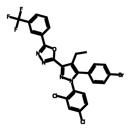 CCc1c(-c2nnc(-c3cccc(C(F)(F)F)c3)o2)nn(-c2ccc(Cl)cc2Cl)c1-c1ccc(Br)cc1